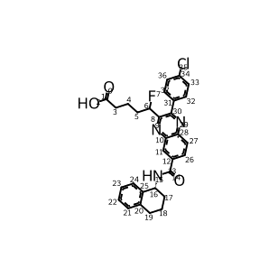 O=C(O)CCCC(F)c1nc2cc(C(=O)N[C@@H]3CCCc4ccccc43)ccc2nc1-c1ccc(Cl)cc1